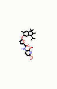 COc1ccc(NC(=O)c2ccc(Oc3cc4c(cc3C)C(C)(C)C(C)C4C(C)C)o2)c(OC)n1